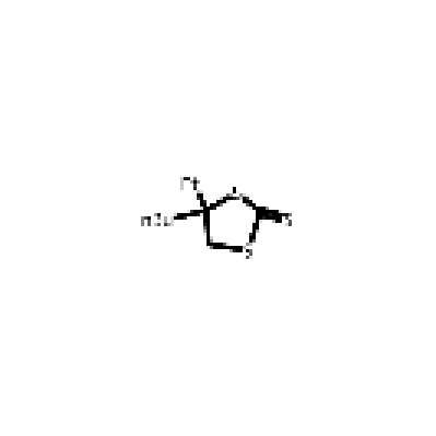 CCCCC1(CC)CSC(=S)S1